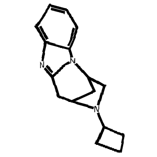 c1ccc2c(c1)nc1n2C2CC(C1)N(C1CCC1)C2